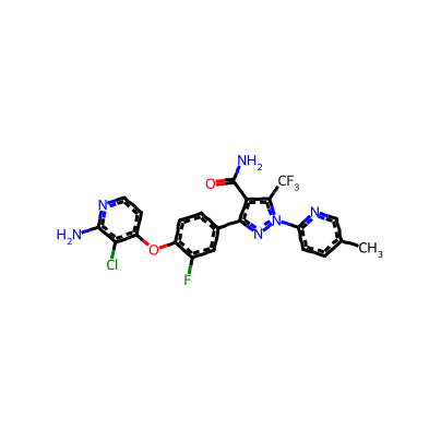 Cc1ccc(-n2nc(-c3ccc(Oc4ccnc(N)c4Cl)c(F)c3)c(C(N)=O)c2C(F)(F)F)nc1